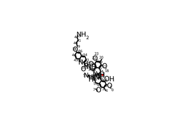 COc1c(C)c(OC)c2c(c1O)[C@@H]1[C@@H]3Cc4c(OC)c(C)c(OC)c(O)c4[C@H](CNC(=O)c4ccc5cc(OCCCCN)ccc5n4)N3[C@@H](C#N)[C@H](C2)N1C